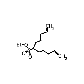 C=CCCCC(CCCC=C)S(=O)(=O)OCC